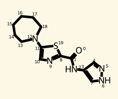 O=C(Nc1cn[nH]c1)c1ncc(N2CCCCCC2)s1